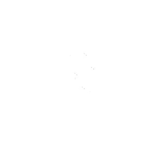 Nc1ccc(S(=O)(=O)O)cn1.Nc1ccccn1